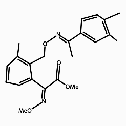 CO/N=C(/C(=O)OC)c1cccc(C)c1CO/N=C(\C)c1ccc(C)c(C)c1